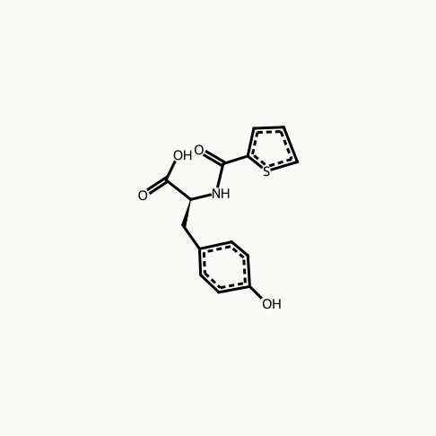 O=C(N[C@@H](Cc1ccc(O)cc1)C(=O)O)c1cccs1